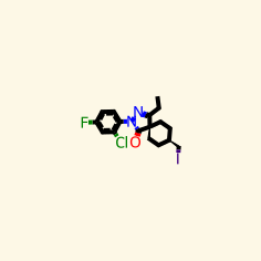 CCC1=NN(c2ccc(F)cc2Cl)C(=O)[C@]12CC[C@H](CI)CC2